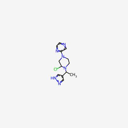 CC(c1cn[nH]c1)N1CCN(c2cnccn2)CC1Cl